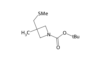 CSCC1(C)CN(C(=O)OC(C)(C)C)C1